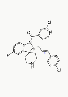 O=C(c1ccnc(Cl)c1)N1c2ccc(F)cc2C2(CCNCC2)[C@H]1C/C=C/c1ccc(Cl)cc1